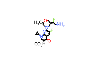 C[C@@H]1CN(c2nc3c(cc2F)c(=O)c(C(=O)O)cn3C2CC2)CC(=C(F)CN)CO1